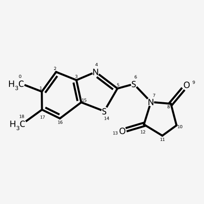 Cc1cc2nc(SN3C(=O)CCC3=O)sc2cc1C